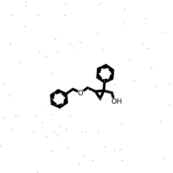 OCC1(c2ccccc2)CC1COCc1ccccc1